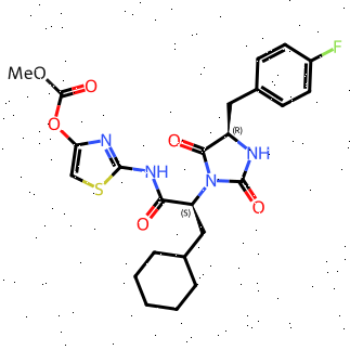 COC(=O)Oc1csc(NC(=O)[C@H](CC2CCCCC2)N2C(=O)N[C@H](Cc3ccc(F)cc3)C2=O)n1